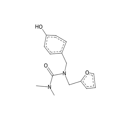 CN(C)C(=O)N(Cc1ccc(O)cc1)Cc1ccco1